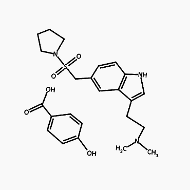 CN(C)CCc1c[nH]c2ccc(CS(=O)(=O)N3CCCC3)cc12.O=C(O)c1ccc(O)cc1